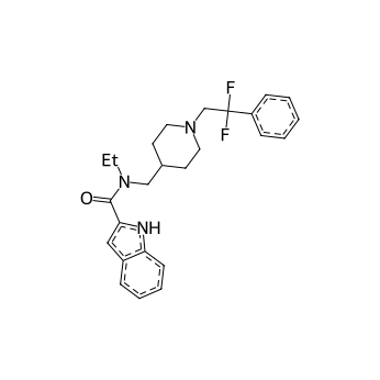 CCN(CC1CCN(CC(F)(F)c2ccccc2)CC1)C(=O)c1cc2ccccc2[nH]1